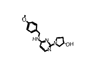 COc1ccc(CNc2ccnc(N3CC[C@H](O)C3)n2)cc1